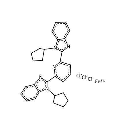 [Cl-].[Cl-].[Cl-].[Fe+3].c1cc(-c2nc3ccccc3n2C2CCCC2)nc(-c2nc3ccccc3n2C2CCCC2)c1